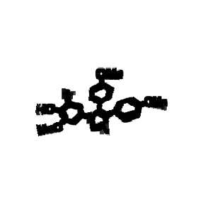 COc1ccc(-c2ncn(-c3cc(Br)c(O)c(OC)c3)c2-c2ccc(OC)cc2)cc1